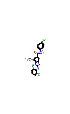 Cc1cc(C(=O)Nc2ccc(Br)cc2)cc2nc(Nc3c(Cl)cccc3Cl)[nH]c12